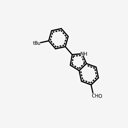 CC(C)(C)c1cccc(-c2cc3cc(C=O)ccc3[nH]2)c1